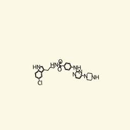 O=S(=O)(NCCCc1c[nH]c2ccc(Cl)cc12)c1ccc(Nc2nccc(N3CCNCC3)n2)cc1